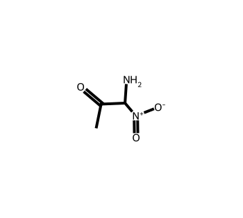 CC(=O)C(N)[N+](=O)[O-]